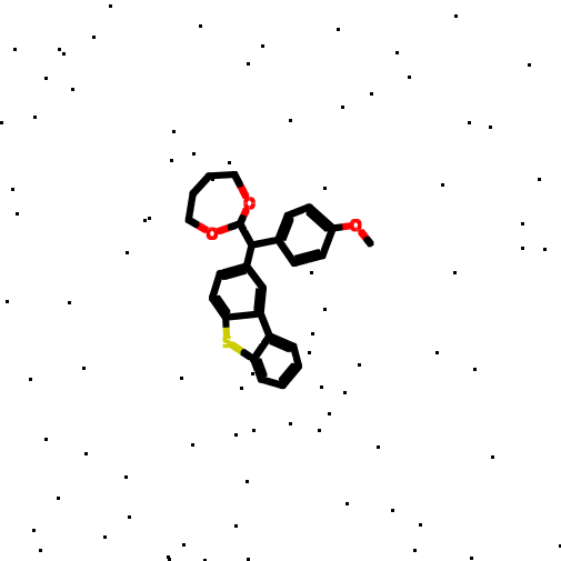 COc1ccc(C(c2ccc3sc4ccccc4c3c2)C2OCCCCO2)cc1